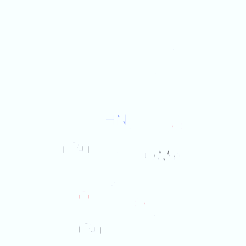 CCCCC(NC(=O)C1CC1(C)C)(OC)C(=O)OC(C)(C)C